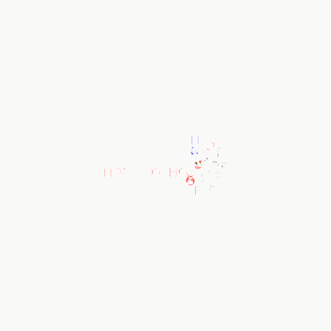 O=S(=O)(O)C(F)(F)C(F)(F)C(F)(F)S(=O)(=O)NC1CCC(OCCCO)CC1